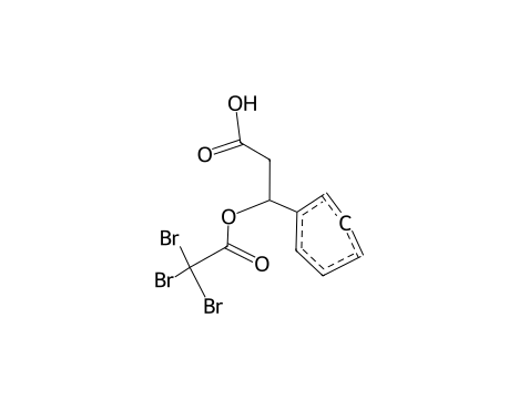 O=C(O)CC(OC(=O)C(Br)(Br)Br)c1ccccc1